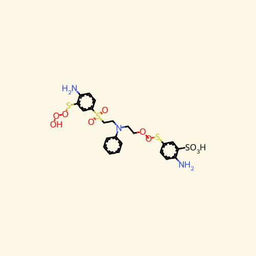 Nc1ccc(S(=O)(=O)CCN(CCOOSc2ccc(N)c(S(=O)(=O)O)c2)c2ccccc2)cc1SOOO